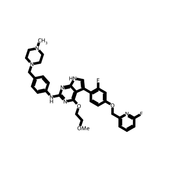 COCCOc1nc(Nc2ccc(CN3CCN(C)CC3)cc2)nc2[nH]cc(-c3ccc(OCc4cccc(F)n4)cc3F)c12